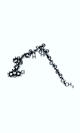 CCCOCCOCCOCCOCCOCCOCCNC(=O)CCN1C(=O)CC(SCCNC(=O)CN2CCN(CCNC(=O)[C@@H]3CCCC[C@@H]3C(=O)N3CCN(C4=Nc5ccccc5Oc5ccc(Cl)cc54)CC3)CC2)C1=O